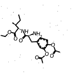 CCOC(=O)[C@@H](NC(=O)[C@@H](N)Cc1ccc(OC(C)=O)c(OC(C)=O)c1)[C@@H](C)CC